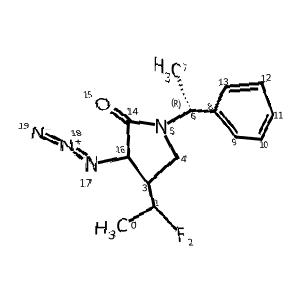 CC(F)C1CN([C@H](C)c2ccccc2)C(=O)C1N=[N+]=[N-]